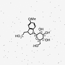 COc1ccc2c(c1)C(CC(=O)O)CN2[C@@H]1O[C@H](CO)[C@@H](O)[C@H](O)[C@H]1O